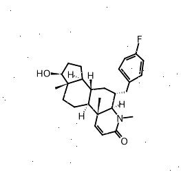 CN1C(=O)C=C[C@]2(C)[C@H]3CC[C@]4(C)[C@@H](O)CC[C@H]4[C@@H]3C[C@H](Cc3ccc(F)cc3)[C@@H]12